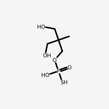 CC(CO)(CO)COP(=O)(O)S